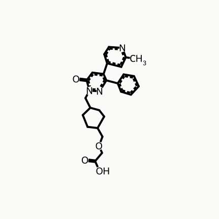 Cc1cc(-c2cc(=O)n(CC3CCC(COCC(=O)O)CC3)nc2-c2ccccc2)ccn1